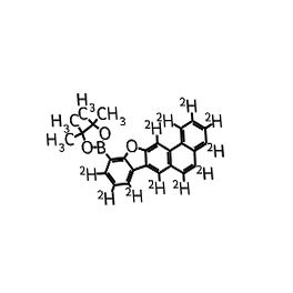 [2H]c1c([2H])c([2H])c2c(oc3c([2H])c4c(c([2H])c([2H])c5c([2H])c([2H])c([2H])c([2H])c54)c([2H])c32)c1B1OC(C)(C)C(C)(C)O1